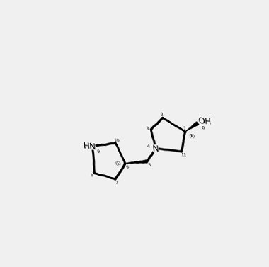 O[C@@H]1CCN(C[C@H]2CCNC2)C1